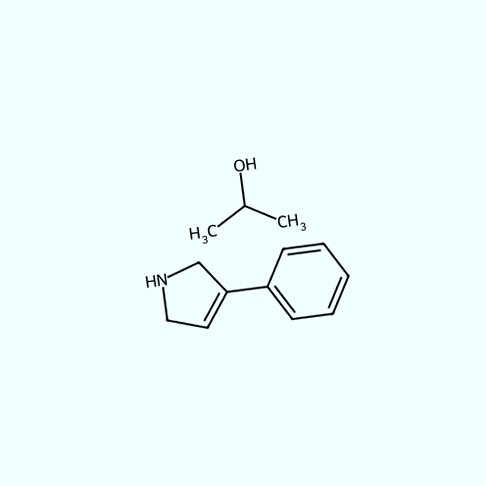 C1=C(c2ccccc2)CNC1.CC(C)O